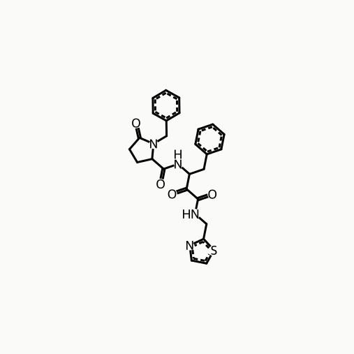 O=C(NCc1nccs1)C(=O)C(Cc1ccccc1)NC(=O)C1CCC(=O)N1Cc1ccccc1